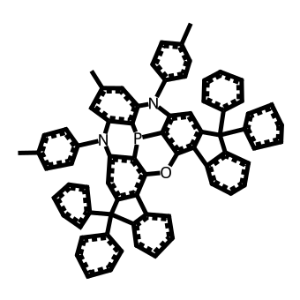 Cc1ccc(N2c3cc(C)cc4c3P3c5c2cc2c(c5Oc5c6c(cc(c53)N4c3ccc(C)cc3)C(c3ccccc3)(c3ccccc3)c3ccccc3-6)-c3ccccc3C2(c2ccccc2)c2ccccc2)cc1